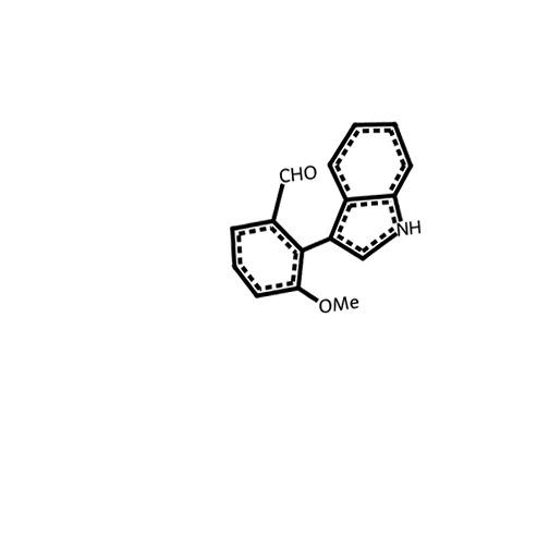 COc1cccc(C=O)c1-c1c[nH]c2ccccc12